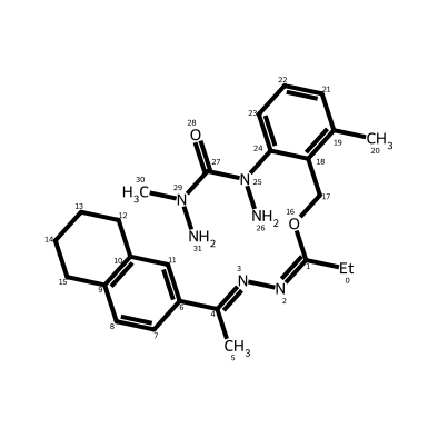 CCC(=NN=C(C)c1ccc2c(c1)CCCC2)OCc1c(C)cccc1N(N)C(=O)N(C)N